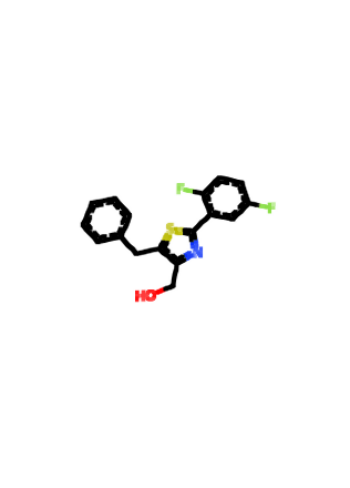 OCc1nc(-c2cc(F)ccc2F)sc1Cc1ccccc1